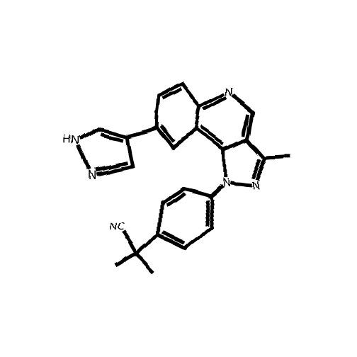 Cc1nn(-c2ccc(C(C)(C)C#N)cc2)c2c1cnc1ccc(-c3cn[nH]c3)cc12